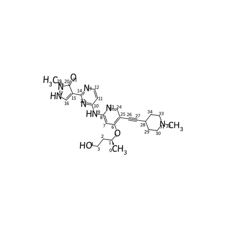 C[C@@H](CCO)Oc1cc(Nc2ccnc(-c3c[nH]n(C)c3=O)n2)ncc1C#CC1CCN(C)CC1